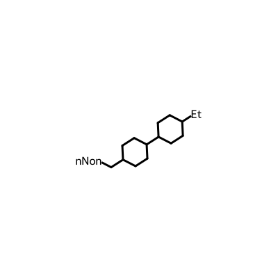 CCCCCCCCCCC1CCC(C2CCC(CC)CC2)CC1